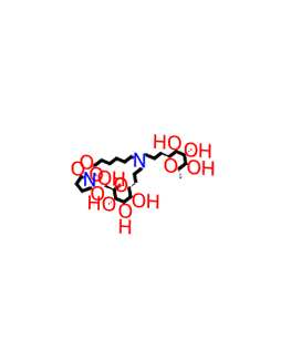 C[C@@H]1O[C@@H](CCCN(CCCCCC(=O)ON2C(=O)CCC2=O)CCC[C@H]2O[C@H](CO)[C@@H](O)[C@H](O)[C@@H]2O)[C@@H](O)[C@H](O)[C@@H]1O